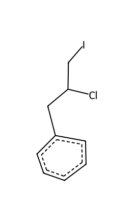 ClC(CI)Cc1ccccc1